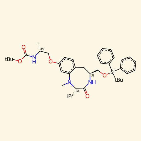 CC(C)[C@H]1C(=O)N[C@H](CO[Si](c2ccccc2)(c2ccccc2)C(C)(C)C)Cc2ccc(OC[C@@H](C)NC(=O)OC(C)(C)C)cc2N1C